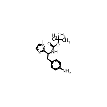 CC(C)(C)OC(=O)NC(Cc1ccc(N)cc1)c1ncc[nH]1